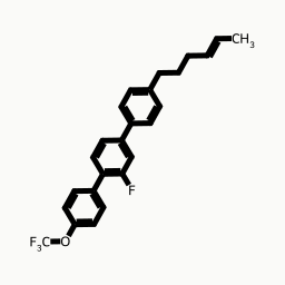 CC=CCCCc1ccc(-c2ccc(-c3ccc(OC(F)(F)F)cc3)c(F)c2)cc1